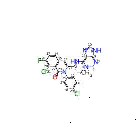 CC[C@@H](Nc1ncnc2[nH]cnc12)c1cc2ccc(F)c(Cl)c2c(=O)n1-c1ccc(Cl)cc1